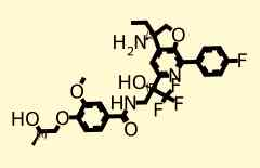 CC[C@@]1(N)COc2c1cc([C@](O)(CNC(=O)c1ccc(OC[C@@H](C)O)c(OC)c1)C(F)(F)F)nc2-c1ccc(F)cc1